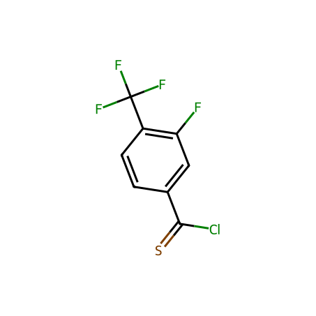 Fc1cc(C(=S)Cl)ccc1C(F)(F)F